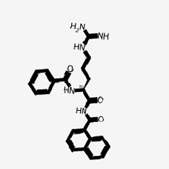 N=C(N)NCCC[C@H](NC(=O)c1ccccc1)C(=O)NC(=O)c1cccc2ccccc12